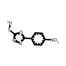 [2H]Sc1nnc(-c2ccc([N+](=O)[O-])cc2)o1